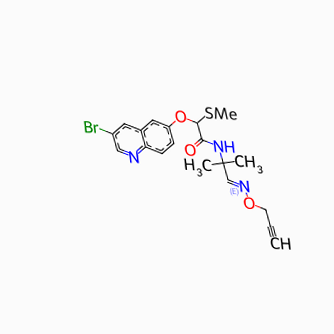 C#CCO/N=C/C(C)(C)NC(=O)C(Oc1ccc2ncc(Br)cc2c1)SC